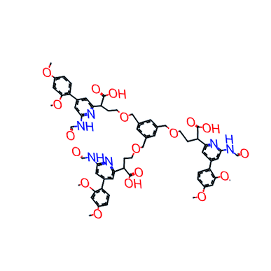 COc1ccc(-c2cc(NC=O)nc(C(CCOCc3cc(COCCC(C(=O)O)c4cc(-c5ccc(OC)cc5OC)cc(NC=O)n4)cc(COCCC(C(=O)O)c4cc(-c5ccc(OC)cc5OC)cc(NC=O)n4)c3)C(=O)O)c2)c(OC)c1